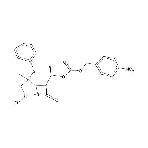 CCO[C]C(C)(Sc1ccccc1)[C@H]1NC(=O)[C@@H]1[C@@H](C)OC(=O)OCc1ccc([N+](=O)[O-])cc1